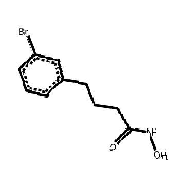 O=C(CCCc1cccc(Br)c1)NO